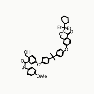 CCC(CC)(C1CCCCC1)N1OCc2cc(Oc3ccc(C(C)(C)c4ccc(Oc5ccc(CO)c(C(=O)N(C)c6ccc(OC)cc6)c5)cc4)cc3)ccc2C1=O